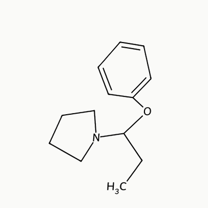 CCC(Oc1ccccc1)N1CCCC1